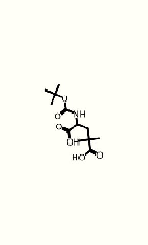 CC(C)(C)OC(=O)NC(CC(C)(C)C(=O)O)C(=O)O